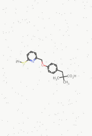 CC(C)Sc1cccc(COc2ccc(CC(C)(C)C(=O)O)cc2)n1